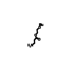 CCC(C)OCCOC(=O)CCN